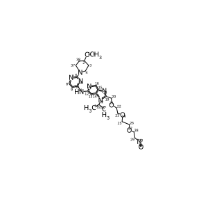 COC1CCN(c2nccc(Nc3cc4c(cn3)nc(COCCOCCOCCN=O)n4C(C)C)n2)CC1